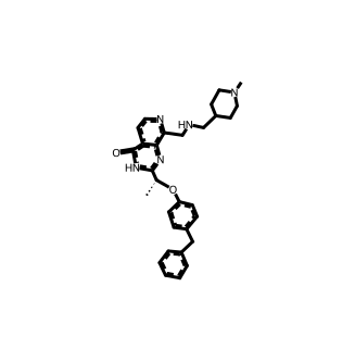 C[C@@H](Oc1ccc(Cc2ccccc2)cc1)c1nc2c(CNCC3CCN(C)CC3)nccc2c(=O)[nH]1